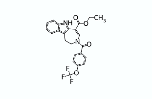 CCOC(=O)C1=CN(C(=O)c2ccc(OC(F)(F)F)cc2)CCc2c1[nH]c1ccccc21